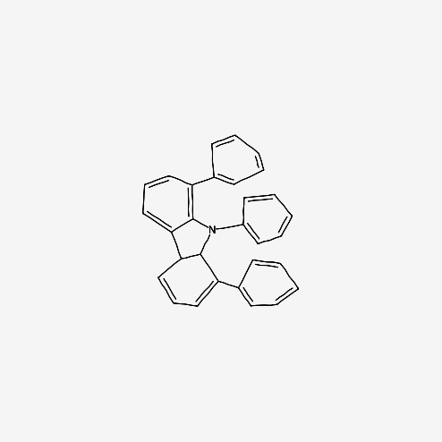 C1=CC2c3cccc(-c4ccccc4)c3N(c3ccccc3)C2C(c2ccccc2)=C1